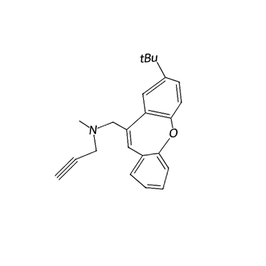 C#CCN(C)CC1=Cc2ccccc2Oc2ccc(C(C)(C)C)cc21